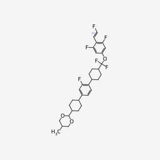 CC1COC(C2CCC(c3ccc(C4CCC(C(F)(F)Oc5cc(F)c(/C=C/F)c(F)c5)CC4)c(F)c3)CC2)OC1